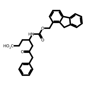 O=C(O)CCC(CC(=O)Cc1ccccc1)NC(=O)OCc1cccc2c1Cc1ccccc1-2